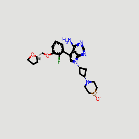 Nc1ncnc2c1c(-c1cccc(OC[C@@H]3CCCO3)c1F)cn2[C@H]1C[C@@H](N2CC[S+]([O-])CC2)C1